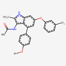 CC(C)Oc1ccc(-c2cc(Oc3cccc(C(F)(F)F)c3)cc3[nH]c(C(=O)O)c(NC(=O)C(C)(C)C)c23)cc1